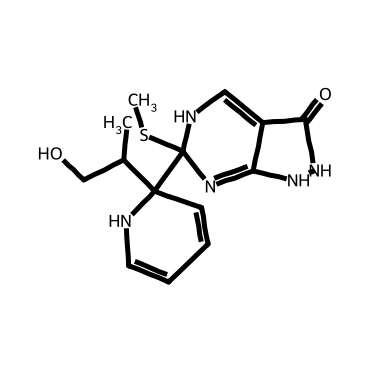 CSC1(C2(C(C)CO)C=CC=CN2)N=c2[nH][nH]c(=O)c2=CN1